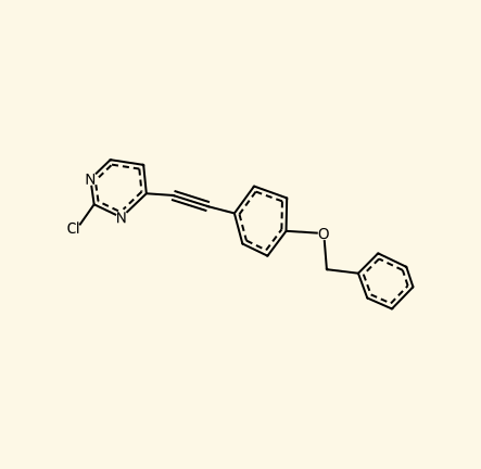 Clc1nccc(C#Cc2ccc(OCc3ccccc3)cc2)n1